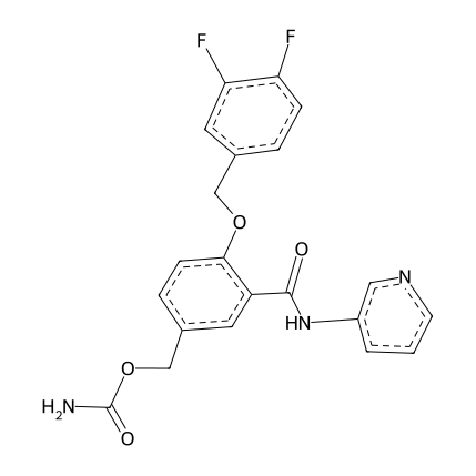 NC(=O)OCc1ccc(OCc2ccc(F)c(F)c2)c(C(=O)Nc2cccnc2)c1